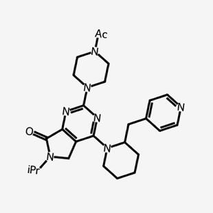 CC(=O)N1CCN(c2nc3c(c(N4CCCCC4Cc4ccncc4)n2)CN(C(C)C)C3=O)CC1